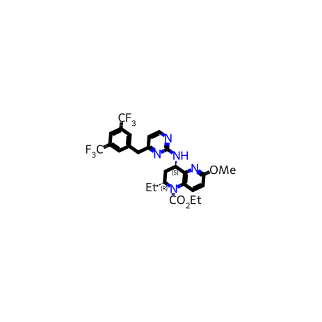 CCOC(=O)N1c2ccc(OC)nc2[C@@H](Nc2nccc(Cc3cc(C(F)(F)F)cc(C(F)(F)F)c3)n2)C[C@H]1CC